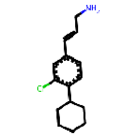 NCC=Cc1ccc(C2CCCCC2)c(Cl)c1